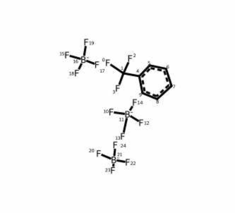 FC(F)(F)c1ccccc1.F[B-](F)(F)F.F[B-](F)(F)F.F[B-](F)(F)F